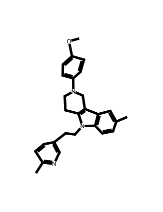 COc1ccc(N2CCc3c(c4cc(C)ccc4n3CCc3ccc(C)nc3)C2)cc1